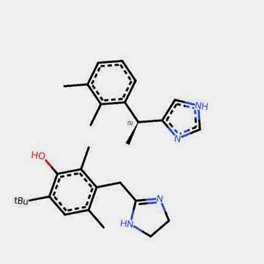 Cc1cc(C(C)(C)C)c(O)c(C)c1CC1=NCCN1.Cc1cccc([C@H](C)c2c[nH]cn2)c1C